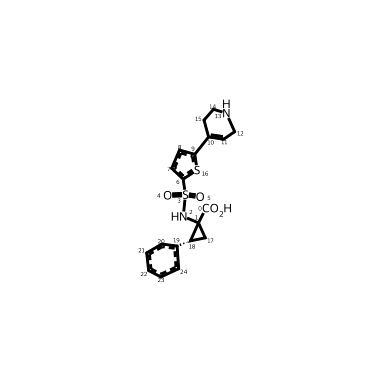 O=C(O)C1(NS(=O)(=O)c2ccc(C3=CCNCC3)s2)C[C@@H]1c1ccccc1